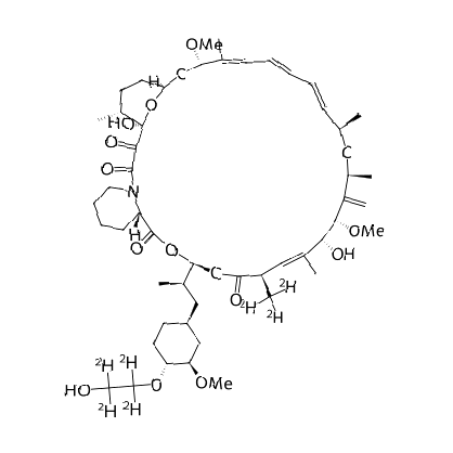 [2H]C([2H])([2H])[C@@H]1/C=C(\C)[C@@H](O)[C@@H](OC)C(=C)[C@H](C)C[C@H](C)/C=C/C=C/C=C(\C)[C@@H](OC)C[C@@H]2CC[C@@H](C)[C@@](O)(O2)C(=O)C(=O)N2CCCC[C@H]2C(=O)O[C@H]([C@H](C)C[C@@H]2CC[C@@H](OC([2H])([2H])C([2H])([2H])O)[C@H](OC)C2)CC1=O